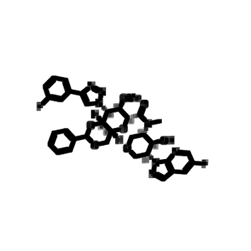 CO[C@@H]1[C@@H](n2cc(-c3cccc(F)c3)nn2)[C@H]2OC(c3ccccc3)OC[C@H]2O[C@H]1C(=O)N(C)[C@H]1COC[C@@H](n2ncc3cc(F)cnc32)[C@@H]1O